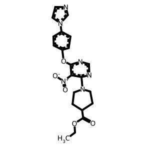 CCOC(=O)C1CCN(c2ncnc(Oc3ccc(-n4ccnc4)cc3)c2[N+](=O)[O-])CC1